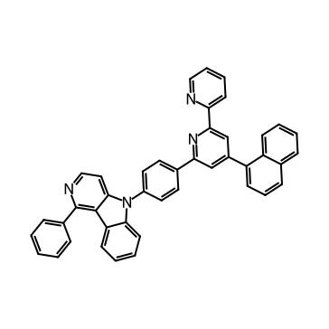 c1ccc(-c2nccc3c2c2ccccc2n3-c2ccc(-c3cc(-c4cccc5ccccc45)cc(-c4ccccn4)n3)cc2)cc1